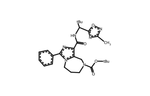 Cc1noc(C(NC(=O)c2nc(-c3ccccc3)n3c2CN(C(=O)OC(C)(C)C)CCC3)C(C)(C)C)n1